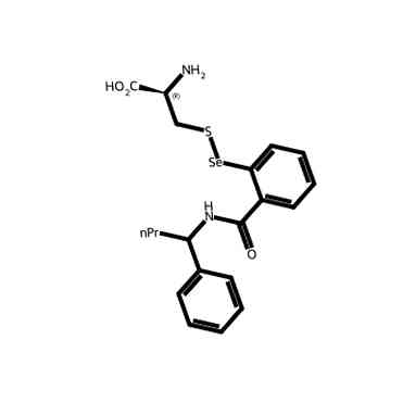 CCCC(NC(=O)c1ccccc1[Se]SC[C@H](N)C(=O)O)c1ccccc1